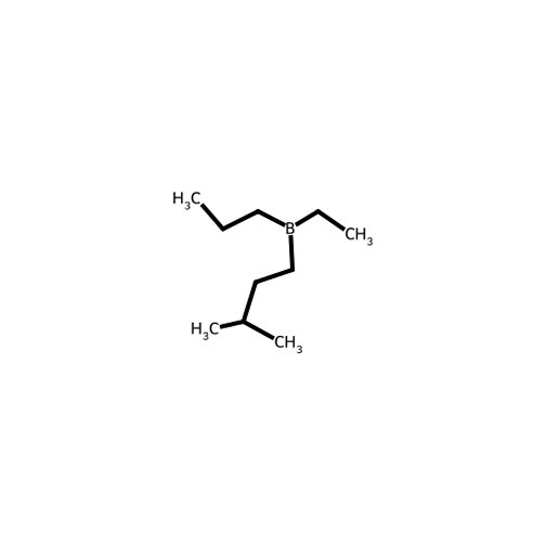 CCCB(CC)CCC(C)C